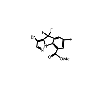 COC(=O)c1cc(F)cc2c1-n1ncc(Br)c1C2(F)F